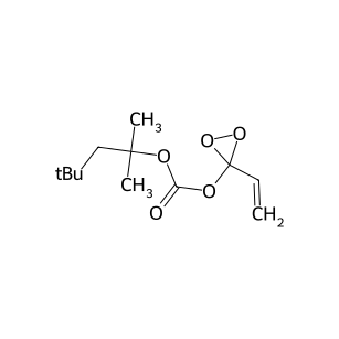 C=CC1(OC(=O)OC(C)(C)CC(C)(C)C)OO1